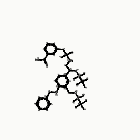 CC(C)(Cc1cccc(C(=O)O)c1)NCC(O[Si](C)(C)C(C)(C)C)c1ccc(OCc2ccccc2)c(CO[Si](C)(C)C(C)(C)C)c1